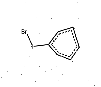 Br[I]c1ccccc1